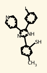 Cc1ccc(-c2nc(-c3ccncc3)c(-c3cccc(I)c3)[nH]2)c(S)c1